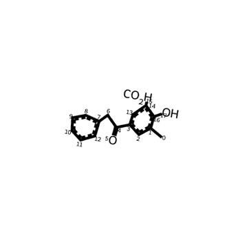 Cc1cc(C(=O)Cc2ccccc2)cc(C(=O)O)c1O